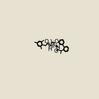 Cc1cc(C)c(CC(=O)N[C@@H](C)C(=O)NN2C(=O)C(C)c3ccccc3-c3ccccc32)c(C)c1